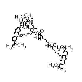 CN(C)c1ccc2cc3ccc(N(C)C)cc3[n+](CCCCCC(=O)NCCCCCNC(=O)C(CCCCNC(=O)OC(C)(C)C)NC(=O)CCCCC[n+]3c4cc(N(C)C)ccc4cc4ccc(N(C)C)cc43)c2c1